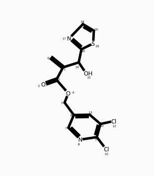 C=C(C(=O)OCc1cnc(Cl)c(Cl)c1)C(O)c1nccs1